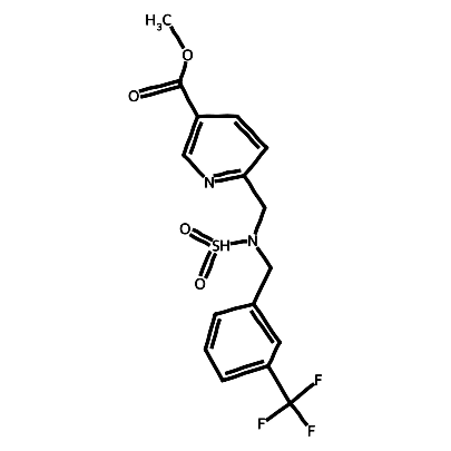 COC(=O)c1ccc(CN(Cc2cccc(C(F)(F)F)c2)[SH](=O)=O)nc1